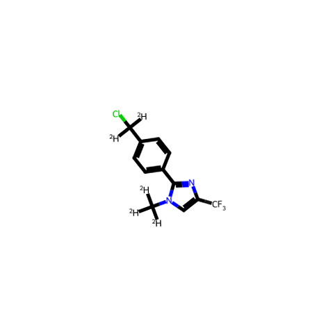 [2H]C([2H])(Cl)c1ccc(-c2nc(C(F)(F)F)cn2C([2H])([2H])[2H])cc1